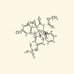 COC(=O)[C@H]1C(=O)[C@@]2(O)c3ncc(Cl)cc3O[C@@]2(C2(C)C=CC(OC(F)(F)F)=CC2)[C@@H]1c1ccccc1